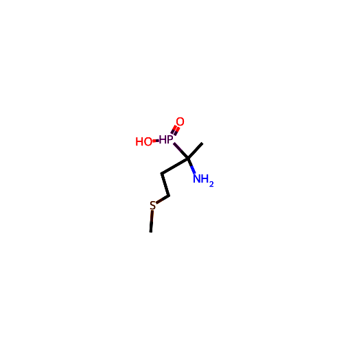 CSCCC(C)(N)[PH](=O)O